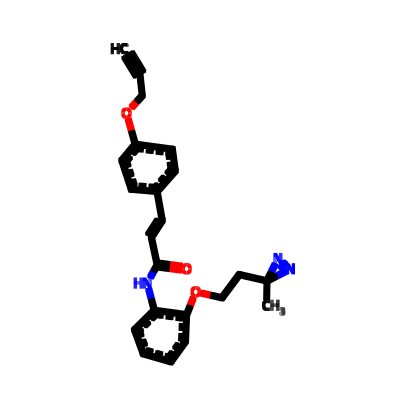 C#CCOc1ccc(/C=C/C(=O)Nc2ccccc2OCCC2(C)N=N2)cc1